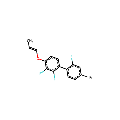 C/C=C/Oc1ccc(-c2ccc(CCC)cc2F)c(F)c1F